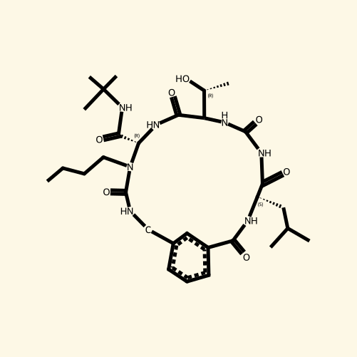 CCCCN1C(=O)NCc2cccc(c2)C(=O)N[C@@H](CC(C)C)C(=O)NC(=O)NC([C@@H](C)O)C(=O)N[C@H]1C(=O)NC(C)(C)C